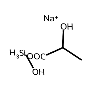 CC(O)C(=O)[O-].O[SiH3].[Na+]